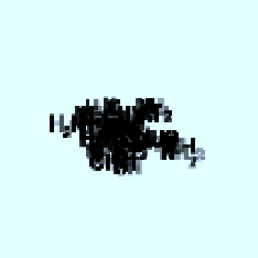 CC(=O)C(N)CCCCC(N)C(=O)NNC(Cc1ccc(O)cc1)C(=O)N[C@@H](CCCNC(=N)N)C(=O)NC(CC(C)C)C(=O)N[C@@H](CCCNC(=N)N)C(=O)NC(Cc1ccc(O)cc1)C(N)=O